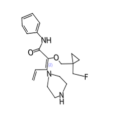 C=C/C(=C(/OCC1(CF)CC1)C(=O)Nc1ccccc1)N1CCNCC1